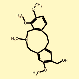 COc1cc2c(cc1CO)CCc1ccc(OC)c(OC)c1CN(C)CC2